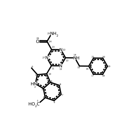 Cc1[nH]c2c(C(=O)O)cccc2c1-c1nc(NCc2ccccc2)nc(C(N)=O)n1